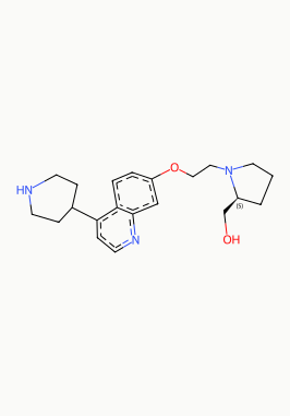 OC[C@@H]1CCCN1CCOc1ccc2c(C3CCNCC3)ccnc2c1